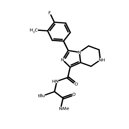 CNC(=O)C(NC(=O)c1nc(-c2ccc(F)c(C)c2)n2c1CNCC2)C(C)(C)C